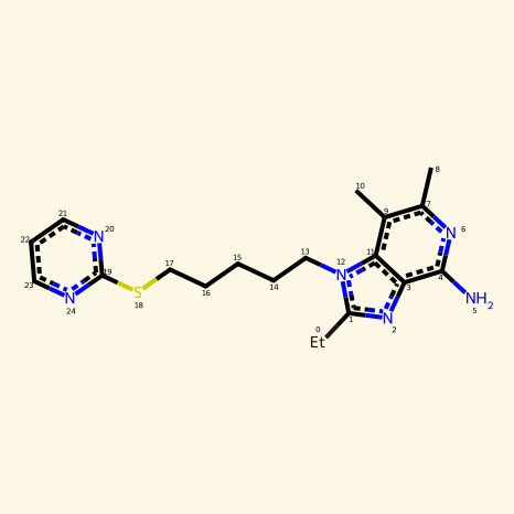 CCc1nc2c(N)nc(C)c(C)c2n1CCCCCSc1ncccn1